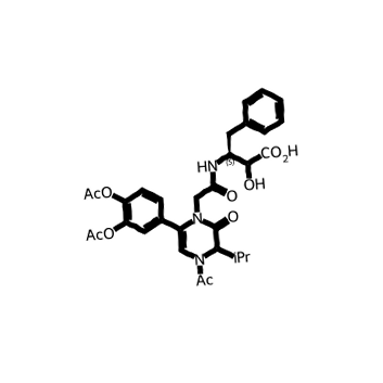 CC(=O)Oc1ccc(C2=CN(C(C)=O)C(C(C)C)C(=O)N2CC(=O)N[C@@H](Cc2ccccc2)C(O)C(=O)O)cc1OC(C)=O